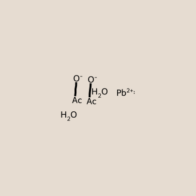 CC(=O)[O-].CC(=O)[O-].O.O.[Pb+2]